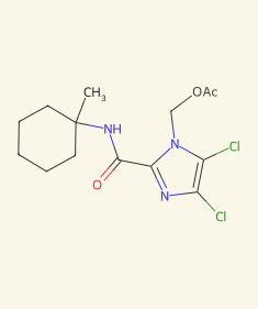 CC(=O)OCn1c(C(=O)NC2(C)CCCCC2)nc(Cl)c1Cl